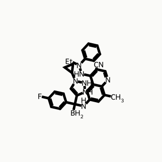 BC(Nc1cc(C)c2ncc(C#N)c(NN(CC)c3ccccc3)c2c1)(C1=CN(C2CC2)NN1)c1ccc(F)cc1